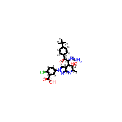 Cc1nc2nn(-c3ccc(Cl)c(C(=O)O)c3)cc2c(/C(=N\N)C(=O)c2ccc(C(C)(C)C)cc2)c1O